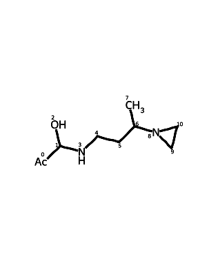 CC(=O)C(O)NCCC(C)N1CC1